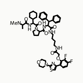 CNC(C)C(=O)NC(C(=O)N1CCCC1C(=O)NC(C(=O)NCCCCNC(=O)COc1c(-c2csc(N3CCOCC3)n2)ccc(F)c1F)C(c1ccccc1)c1ccccc1)C1CCCCC1